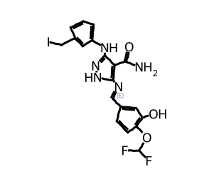 NC(=O)c1c(Nc2cccc(CI)c2)n[nH]c1/N=C/c1ccc(OC(F)F)c(O)c1